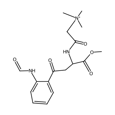 COC(=O)C(CC(=O)c1ccccc1NC=O)NC(=O)C[N+](C)(C)C